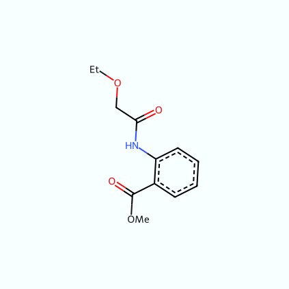 CCOCC(=O)Nc1ccccc1C(=O)OC